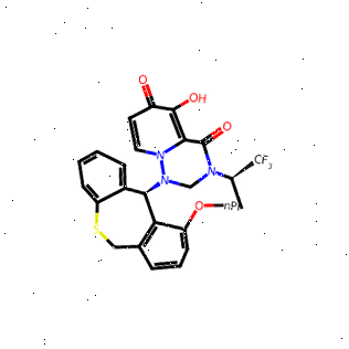 CCCOc1cccc2c1[C@H](N1CN([C@H](C)C(F)(F)F)C(=O)c3c(O)c(=O)ccn31)c1ccccc1SC2